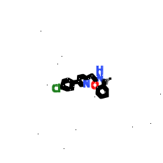 C[C@@H](NC(=O)Cc1ccc(-c2ccc(Cl)cc2)cn1)C1CCCCC1